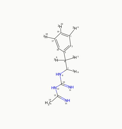 [2H]c1cc(C([2H])([2H])C([2H])NC(=N)NC(C)=N)cc([2H])c1[2H]